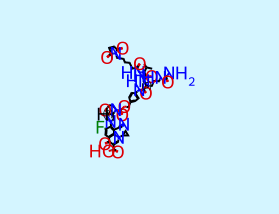 CC(C)C(NC(=O)CCCCCN1C(=O)C=CC1=O)C(=O)N[C@@H](CCCNC(N)=O)C(=O)Nc1ccc(COC(=O)N2CCO[C@@H]3CN(c4c(F)cc5c(=O)c(C(=O)O)cn(C6CC6)c5c4C#N)CC32)cc1